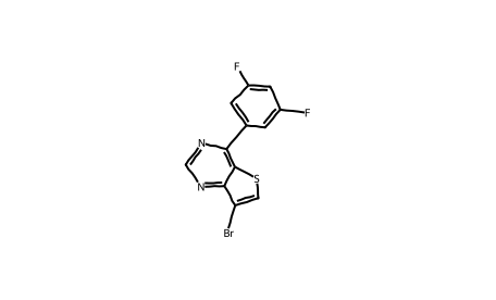 Fc1cc(F)cc(-c2ncnc3c(Br)csc23)c1